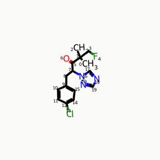 CC(C)(CF)C(=O)C(Cc1ccc(Cl)cc1)n1cncn1